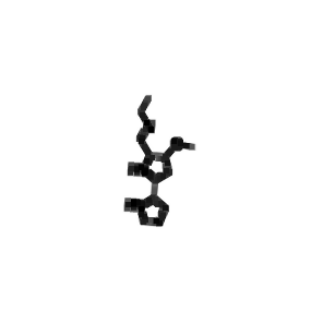 CCN=Cc1[nH]c(-c2ccc[nH]2)cc1OC